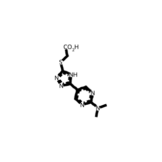 CN(C)c1ncc(-c2nnc(SCC(=O)O)[nH]2)cn1